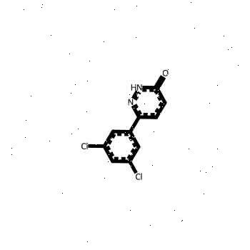 O=c1ccc(-c2cc(Cl)cc(Cl)c2)n[nH]1